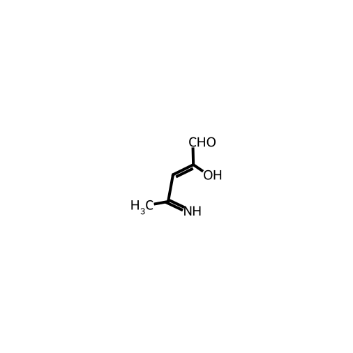 CC(=N)/C=C(\O)C=O